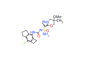 COC1(C)COc2c(S(N)(=O)=NC(=O)Nc3c4c(c(F)c5c3CC5)CCC4)cnn2C1